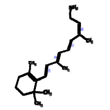 CC1=C(/C=C/C(C)=C/C=C/C(C)=C\CN)C(C)(C)CCC1